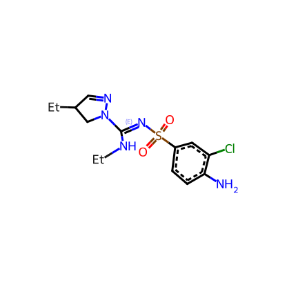 CCN/C(=N\S(=O)(=O)c1ccc(N)c(Cl)c1)N1CC(CC)C=N1